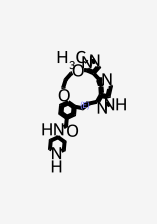 Cn1ncc2c1OCCCOc1ccc(C(=O)NC3CCNCC3)cc1/C=C/c1n[nH]c3cnc-2cc13